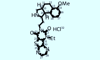 CCn1c(=O)n(CCC2NC[C@@H]3CCc4c(OC)cccc4[C@H]23)c(=O)c2sc3nccnc3c21.Cl